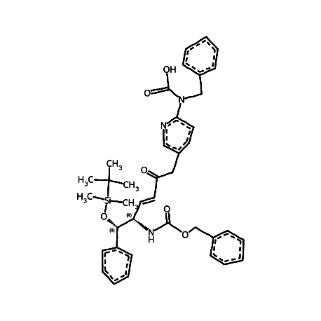 CC(C)(C)[Si](C)(C)O[C@H](c1ccccc1)[C@@H](C=CC(=O)Cc1ccc(N(Cc2ccccc2)C(=O)O)nc1)NC(=O)OCc1ccccc1